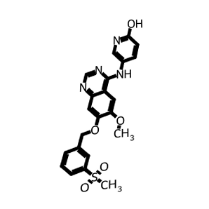 COc1cc2c(Nc3ccc(O)nc3)ncnc2cc1OCc1cccc(S(C)(=O)=O)c1